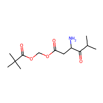 CC(C)C(=O)C(N)CC(=O)OCOC(=O)C(C)(C)C